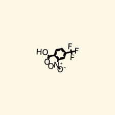 O=C(O)c1ccc(C(F)(F)F)cc1[N+](=O)[O-]